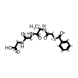 C[C@@H](NC(=O)CSC(=O)c1ccccc1)C(=O)NCC(=O)NCC(=O)O